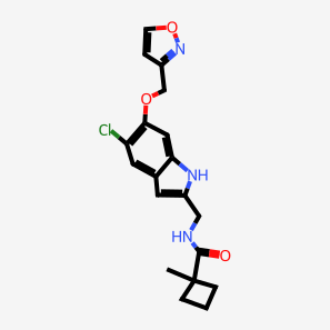 CC1(C(=O)NCc2cc3cc(Cl)c(OCc4ccon4)cc3[nH]2)CCC1